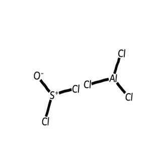 [Cl][Al]([Cl])[Cl].[O-][S+](Cl)Cl